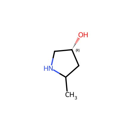 CC1C[C@@H](O)CN1